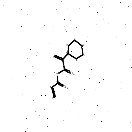 C=CC(=O)OC(=O)C(=C)C1CCCCC1